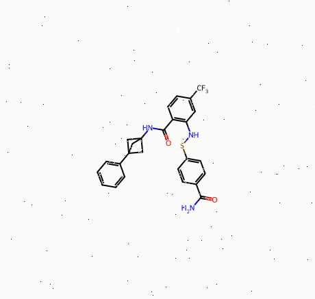 NC(=O)c1ccc(SNc2cc(C(F)(F)F)ccc2C(=O)NC23CC(c4ccccc4)(C2)C3)cc1